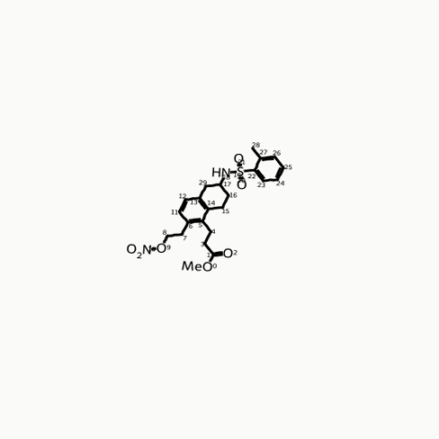 COC(=O)CCc1c(CCO[N+](=O)[O-])ccc2c1CCC(NS(=O)(=O)c1ccccc1C)C2